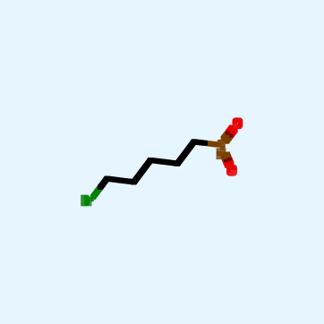 O=[SH](=O)CCCCCBr